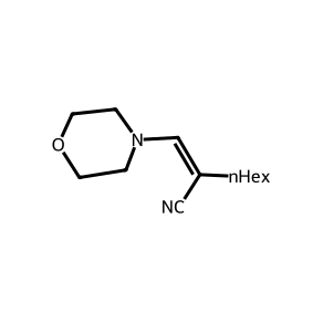 CCCCCCC(C#N)=CN1CCOCC1